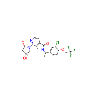 CC(c1ccc(OCC(F)(F)F)c(Cl)c1)N1Cc2c(ccnc2N2C[C@H](O)CC2=O)C1=O